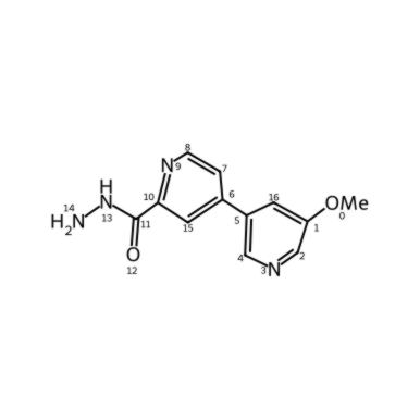 COc1cncc(-c2ccnc(C(=O)NN)c2)c1